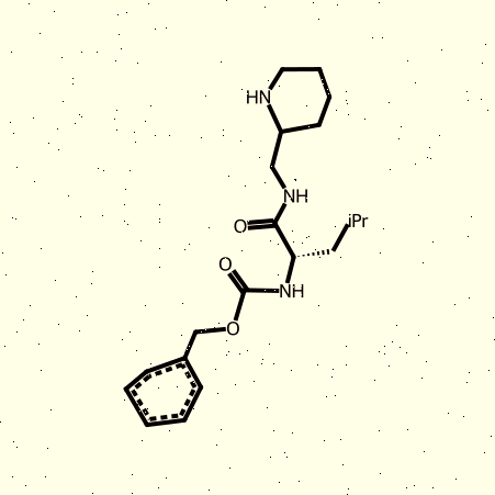 CC(C)C[C@H](NC(=O)OCc1ccccc1)C(=O)NCC1CCCCN1